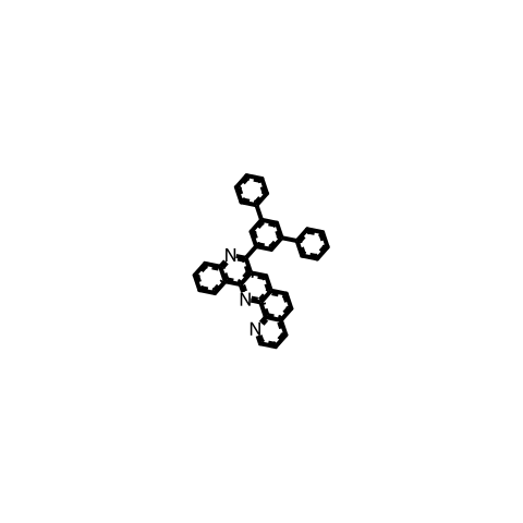 c1ccc(-c2cc(-c3ccccc3)cc(-c3nc4ccccc4c4nc5c(ccc6cccnc65)cc34)c2)cc1